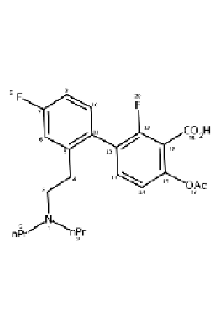 CCCN(CCC)CCc1cc(F)ccc1-c1ccc(OC(C)=O)c(C(=O)O)c1F